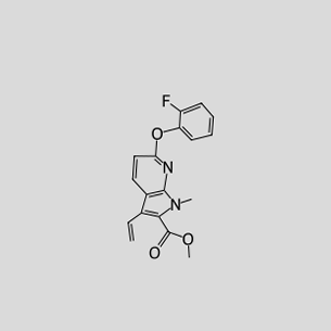 C=Cc1c(C(=O)OC)n(C)c2nc(Oc3ccccc3F)ccc12